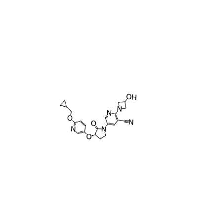 N#Cc1cc(N2CC[C@@H](Oc3ccc(OCC4CC4)nc3)C2=O)cnc1N1CC(O)C1